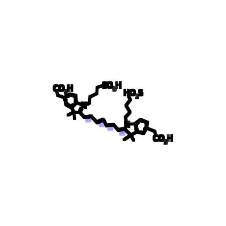 CC1(C)C(/C=C/C=C/C=C/C=C2\N(CCCCS(=O)(=O)O)c3ccc(CC(=O)O)cc3C2(C)C)=[N+](CCCCS(=O)(=O)O)c2ccc(CC(=O)O)cc21